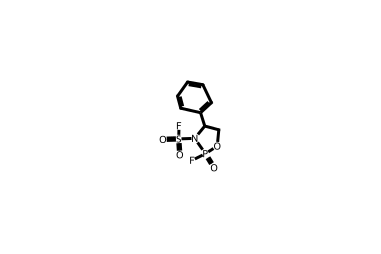 O=P1(F)OCC(c2ccccc2)N1S(=O)(=O)F